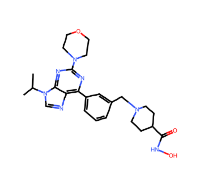 CC(C)n1cnc2c(-c3cccc(CN4CCC(C(=O)NO)CC4)c3)nc(N3CCOCC3)nc21